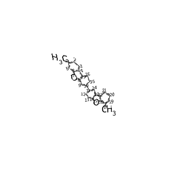 Cc1ccc2c(c1)oc1cc(-c3ccc4oc5c(C)cccc5c4c3)ccc12